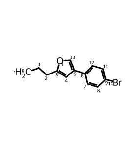 [CH2]CCc1cc(-c2ccc(Br)cc2)co1